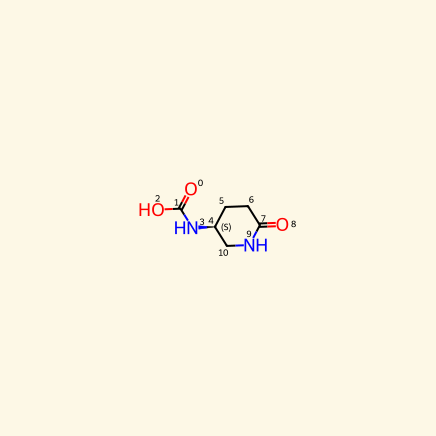 O=C(O)N[C@H]1CCC(=O)NC1